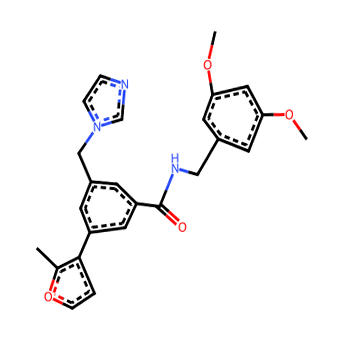 COc1cc(CNC(=O)c2cc(Cn3ccnc3)cc(-c3ccoc3C)c2)cc(OC)c1